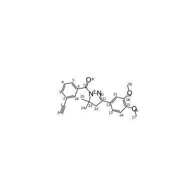 C#Cc1cccc(C(=O)N2N=C(c3ccc(OC)c(OC)c3)CC2(C)C)c1